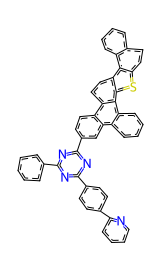 c1ccc(-c2nc(-c3ccc(-c4ccccn4)cc3)nc(-c3ccc4c(c3)c3ccccc3c3c4ccc4c3sc3ccc5ccccc5c34)n2)cc1